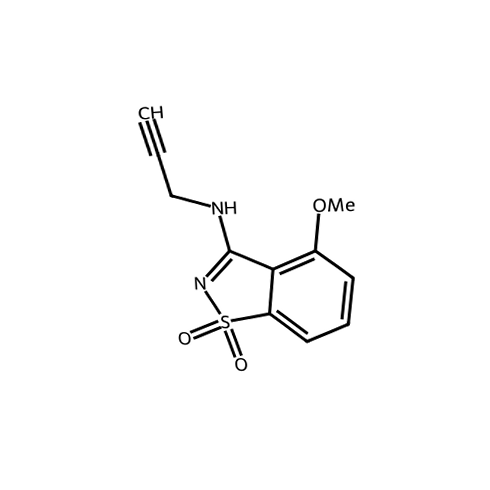 C#CCNC1=NS(=O)(=O)c2cccc(OC)c21